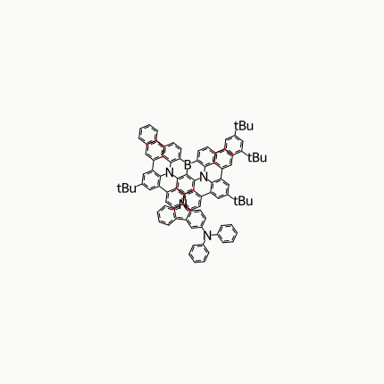 CC(C)(C)c1cc(-c2ccc3c(c2)N(c2c(-c4ccccc4)cc(C(C)(C)C)cc2-c2ccccc2)c2cc(-n4c5ccccc5c5cc(N(c6ccccc6)c6ccccc6)ccc54)cc4c2B3c2ccc(-c3ccccc3)cc2N4c2c(-c3ccccc3)cc(C(C)(C)C)cc2-c2ccccc2)cc(C(C)(C)C)c1